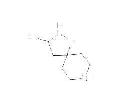 CC(=O)C1CC2(CCNCC2)ON1